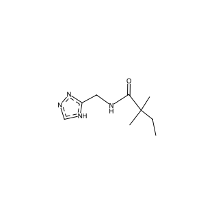 CCC(C)(C)C(=O)NCc1nnc[nH]1